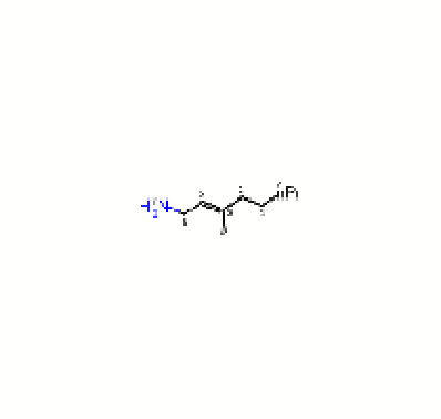 CCCCC/C(C)=C/CN